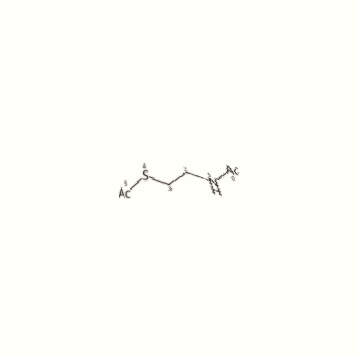 CC(=O)NCCSC(C)=O